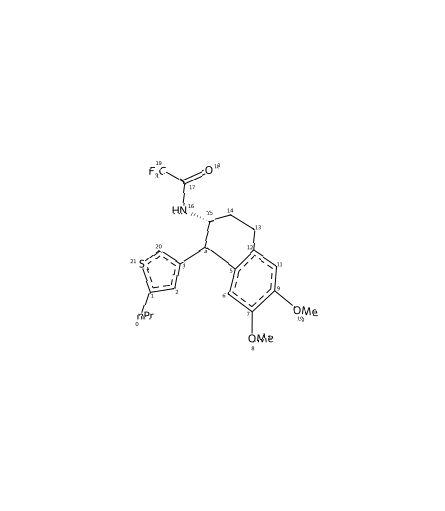 CCCc1cc(C2c3cc(OC)c(OC)cc3CC[C@H]2NC(=O)C(F)(F)F)cs1